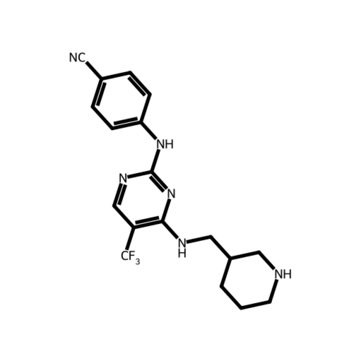 N#Cc1ccc(Nc2ncc(C(F)(F)F)c(NCC3CCCNC3)n2)cc1